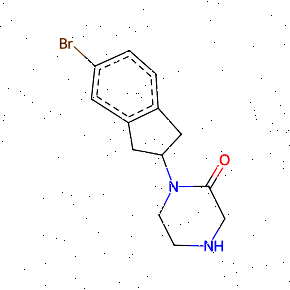 O=C1CNCCN1C1Cc2ccc(Br)cc2C1